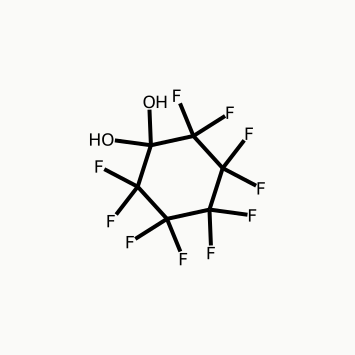 OC1(O)C(F)(F)C(F)(F)C(F)(F)C(F)(F)C1(F)F